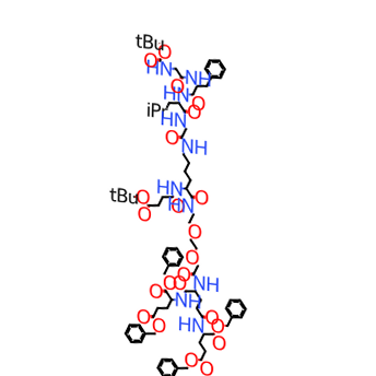 CC(C)CC(NC(=O)C(Cc1ccccc1)NC(=O)CNC(=O)OC(C)(C)C)C(=O)NCC(=O)NCCCCC(NC(=O)CCC(=O)OC(C)(C)C)C(=O)NCCOCCOCC(=O)NC(CCC(=O)NC(CCC(=O)OCc1ccccc1)C(=O)OCc1ccccc1)C(=O)NC(CCC(=O)OCc1ccccc1)C(=O)OCc1ccccc1